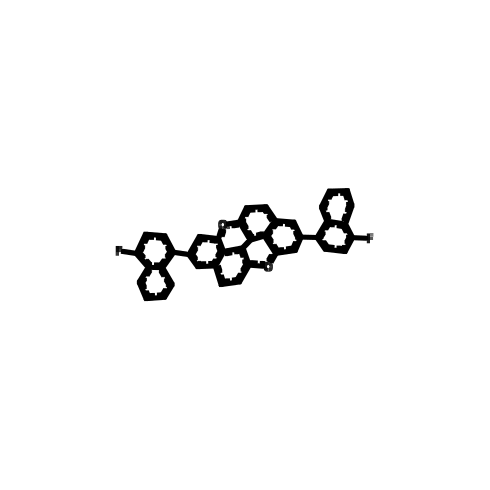 Fc1ccc(-c2cc3ccc4oc5cc(-c6ccc(F)c7ccccc67)cc6ccc7oc(c2)c3c4-c7c65)c2ccccc12